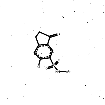 CCCNS(=O)(=O)c1cc2c(cc1Cl)CCC2=O